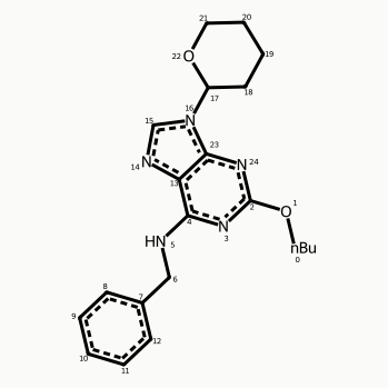 CCCCOc1nc(NCc2ccccc2)c2ncn(C3CCCCO3)c2n1